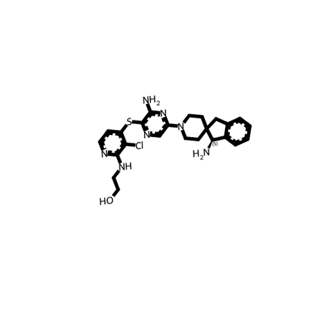 Nc1nc(N2CCC3(CC2)Cc2ccccc2[C@H]3N)cnc1Sc1ccnc(NCCO)c1Cl